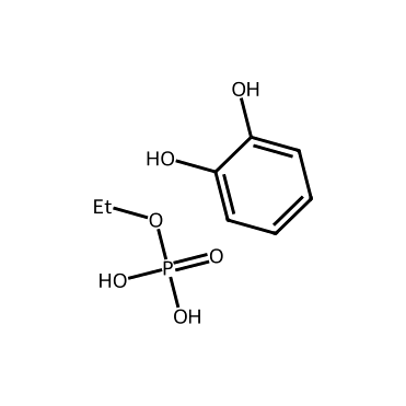 CCOP(=O)(O)O.Oc1ccccc1O